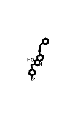 Oc1c(Cc2ccc(Br)cc2)cnc2ccc(C#CCc3ccccc3)cc12